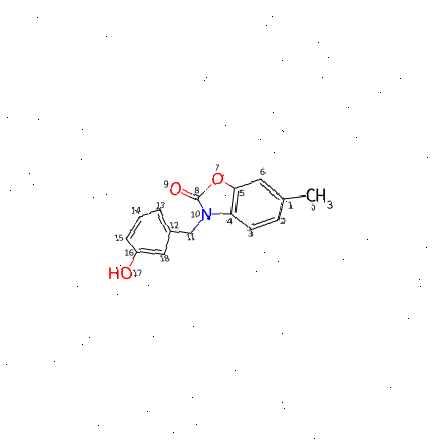 Cc1ccc2c(c1)oc(=O)n2Cc1cccc(O)c1